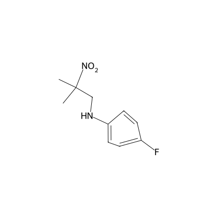 CC(C)(CNc1ccc(F)cc1)[N+](=O)[O-]